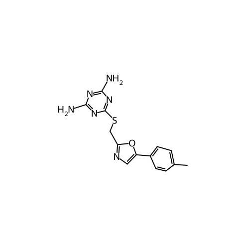 Cc1ccc(-c2cnc(CSc3nc(N)nc(N)n3)o2)cc1